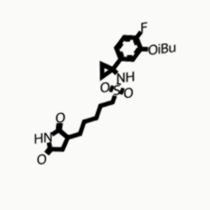 CC(C)COc1cc(C2(NS(=O)(=O)CCCCCC3CC(=O)NC3=O)CC2)ccc1F